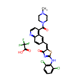 CN1CCN(C(=O)c2ccnc3ccc(C=C4SC(Nc5c(Cl)cccc5Cl)=NC4=O)cc23)CC1.O=C(O)C(F)(F)F